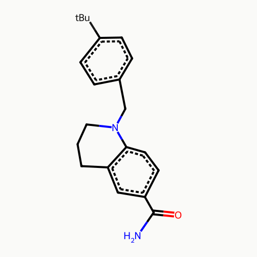 CC(C)(C)c1ccc(CN2CCCc3cc(C(N)=O)ccc32)cc1